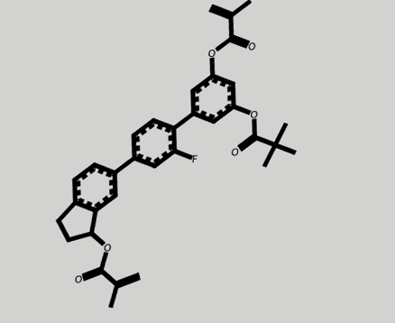 C=C(C)C(=O)Oc1cc(OC(=O)C(C)(C)C)cc(-c2ccc(-c3ccc4c(c3)C(OC(=O)C(=C)C)CC4)cc2F)c1